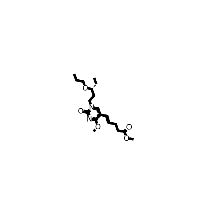 CCCO[C@H](CC)CCn1cc(/C=C/CCC(=O)OC)c(OC)nc1=O